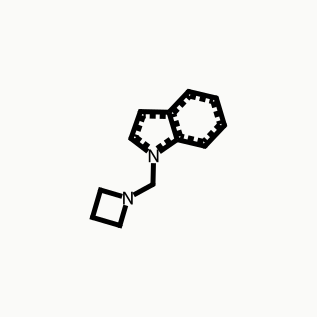 c1ccc2c(c1)ccn2CN1CCC1